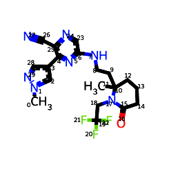 Cn1cc(-c2nc(NCCC3(C)CCCC(=O)N3CC(F)(F)F)cnc2C#N)cn1